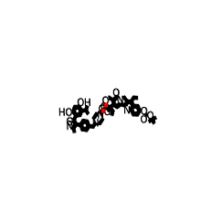 CCc1c2c(nc3ccc(OC(=O)OC(C)(C)C)cc13)-c1cc3c(c(=O)n1C2)COC(=O)C3(CC)OC(=O)N1CCN(Cc2ccc(-c3c(C)noc3-c3cc(C(C)C)c(O)cc3O)cc2)CC1